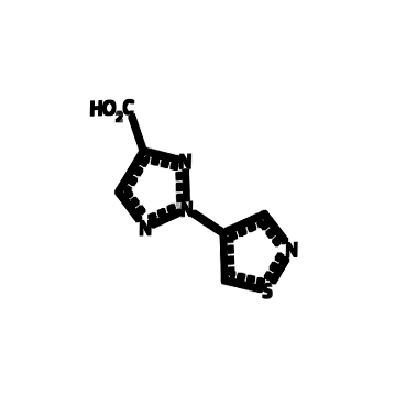 O=C(O)c1cnn(-c2cnsc2)n1